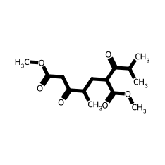 COC(=O)CC(=O)C(C)CC(C(=O)OC)C(=O)C(C)C